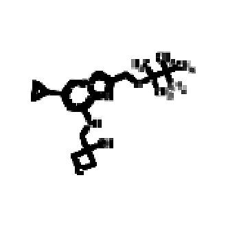 CC(C)(C)[Si](C)(C)OCc1cn2cc(C3CC3)cc(NCC3(O)COC3)c2n1